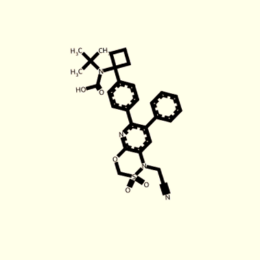 CC(C)(C)N(C(=O)O)C1(c2ccc(-c3nc4c(cc3-c3ccccc3)N(CC#N)S(=O)(=O)CO4)cc2)CCC1